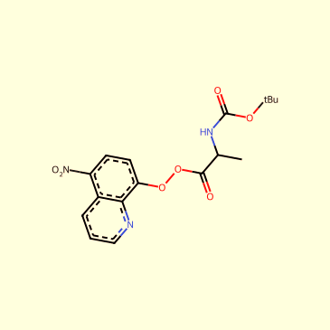 CC(NC(=O)OC(C)(C)C)C(=O)OOc1ccc([N+](=O)[O-])c2cccnc12